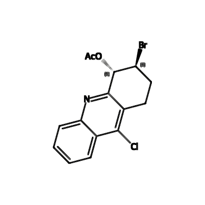 CC(=O)O[C@H]1c2nc3ccccc3c(Cl)c2CC[C@@H]1Br